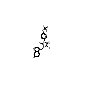 CC1C(=O)N(c2ccc(OC(F)(F)F)cc2)C(=O)N1Cc1ccnc2cc(F)ccc12